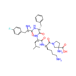 CC(C)C[C@@H](NC(=O)[C@@H](Cc1ccccc1)NC(=O)[C@H](N)Cc1ccc(F)cc1)C(=O)N[C@H](CCCCN)C(=O)N1CCC(N)(C(=O)O)C1